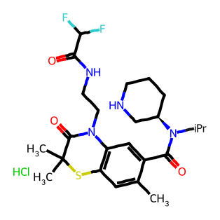 Cc1cc2c(cc1C(=O)N(C(C)C)[C@@H]1CCCNC1)N(CCNC(=O)C(F)F)C(=O)C(C)(C)S2.Cl